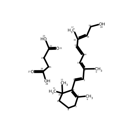 CC(C=CC1=C(C)CCCC1(C)C)=CC=CC(C)=CCO.O=C(O)CCC(=O)O